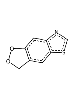 c1nc2cc3c(cc2s1)COO3